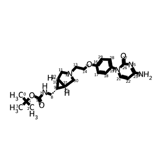 CC(C)(C)OC(=O)NC[C@@H]1[C@H]2CN(CCOc3ccc(-n4ccc(N)nc4=O)cc3)C[C@@H]12